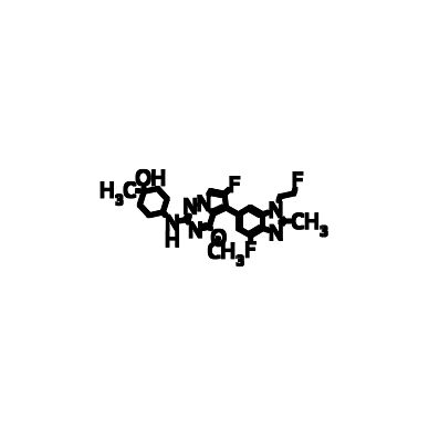 COc1nc(NC2CCC(C)(O)CC2)nn2cc(F)c(-c3cc(F)c4nc(C)n(CCF)c4c3)c12